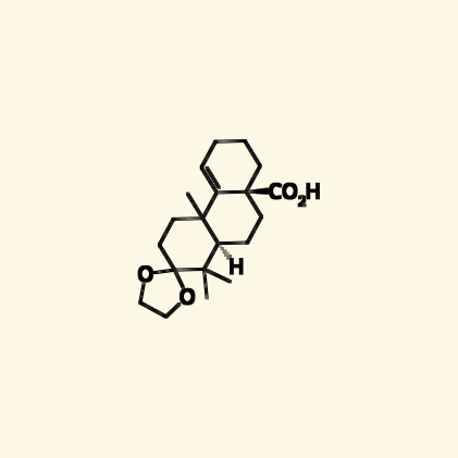 CC12CCC3(OCCO3)C(C)(C)[C@@H]1CC[C@@]1(C(=O)O)CCCC=C21